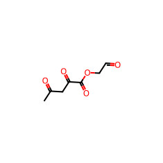 CC(=O)CC(=O)C(=O)OCC=O